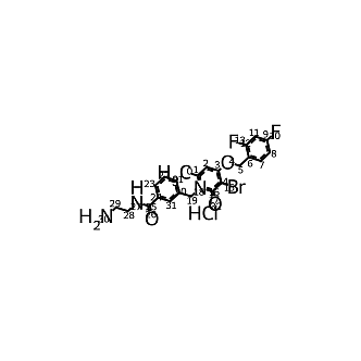 Cc1cc(OCc2ccc(F)cc2F)c(Br)c(=O)n1Cc1cccc(C(=O)NCCN)c1.Cl